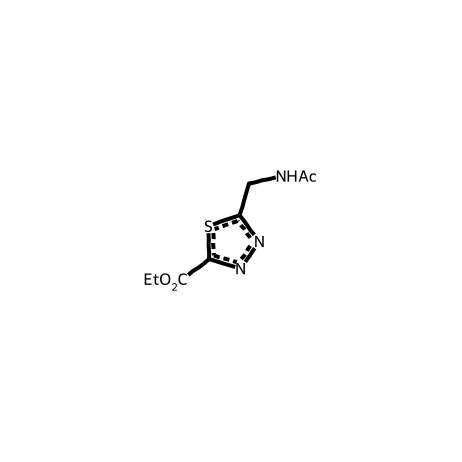 CCOC(=O)c1nnc(CNC(C)=O)s1